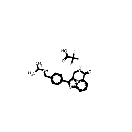 CC(C)NCc1ccc(-c2nc3cccc4n3c2CNC4=O)cc1.O=C(O)C(F)(F)F